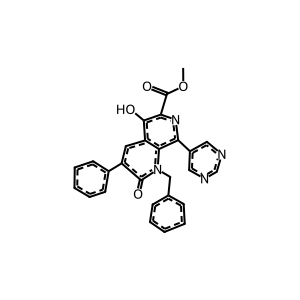 COC(=O)c1nc(-c2cncnc2)c2c(cc(-c3ccccc3)c(=O)n2Cc2ccccc2)c1O